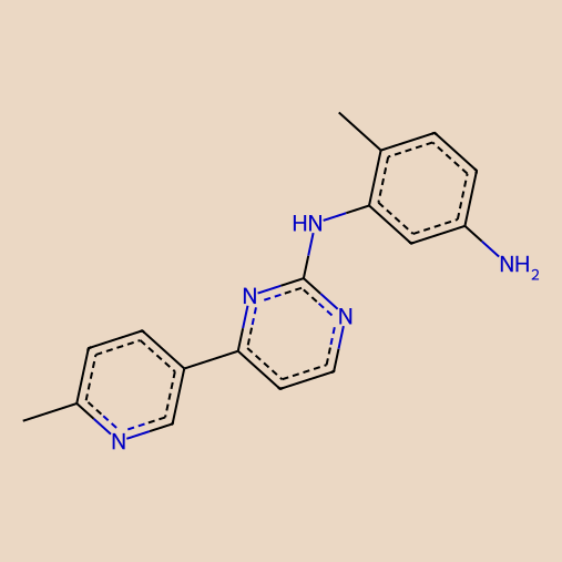 Cc1ccc(-c2ccnc(Nc3cc(N)ccc3C)n2)cn1